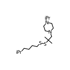 CC(C)CCCCSSC(C)(C)CN1CCN(C(C)C)CC1